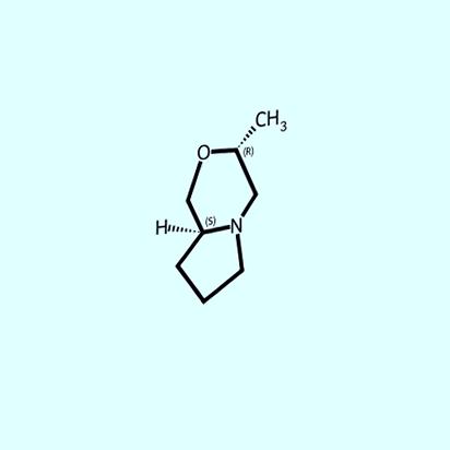 C[C@@H]1CN2CCC[C@H]2CO1